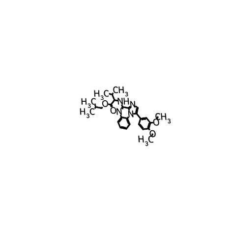 COc1ccc(-c2cnc3c(NC(C(=O)OCC(C)C)C(C)C)nc4ccccc4n23)cc1OC